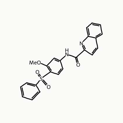 COc1cc(NC(=O)c2ccc3ccccc3n2)ccc1S(=O)(=O)c1ccccc1